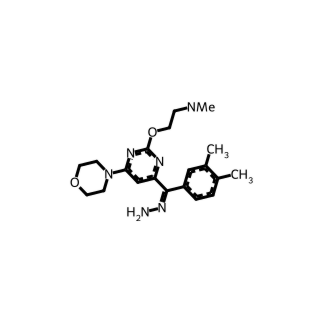 CNCCOc1nc(/C(=N\N)c2ccc(C)c(C)c2)cc(N2CCOCC2)n1